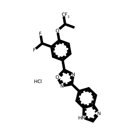 CC(Oc1ccc(-c2nc(-c3ccc4nc[nH]c4c3)no2)cc1C(F)F)C(F)(F)F.Cl